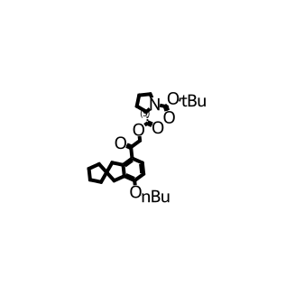 CCCCOc1ccc(C(=O)COC(=O)[C@@H]2CCCN2C(=O)OC(C)(C)C)c2c1CC1(CCCC1)C2